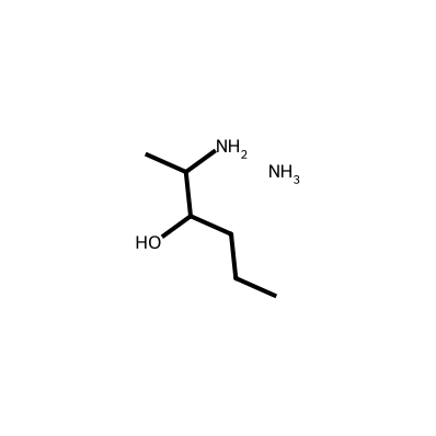 CCCC(O)C(C)N.N